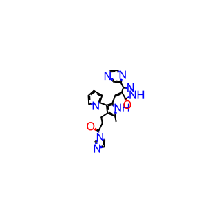 Cc1[nH]c(C=C2C(=O)NN=C2c2cnccn2)c(-c2ccccn2)c1CCC(=O)n1ccnc1